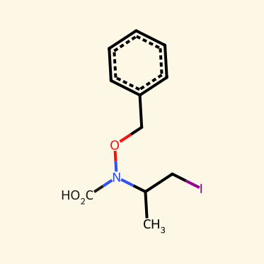 CC(CI)N(OCc1ccccc1)C(=O)O